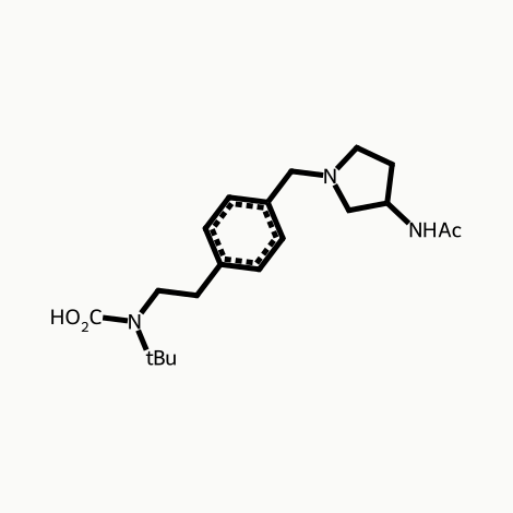 CC(=O)NC1CCN(Cc2ccc(CCN(C(=O)O)C(C)(C)C)cc2)C1